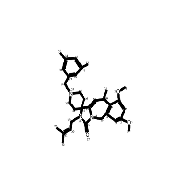 COc1cc2c(c(OC)c1)C(C)C=C1N(C2)C(=O)N(CC=C(C)C)C12CCN(Cc1cc(C)cc(C)c1)CC2